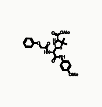 COC(=O)[C@@H]1N[C@@H]([C@H](NC(=O)COc2ccccc2)C(=O)Nc2ccc(OC)cc2)SC1(C)C